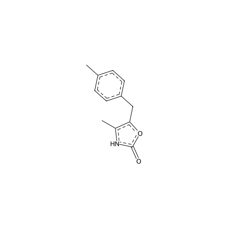 Cc1ccc(Cc2oc(=O)[nH]c2C)cc1